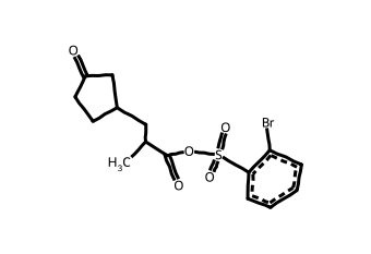 CC(CC1CCC(=O)C1)C(=O)OS(=O)(=O)c1ccccc1Br